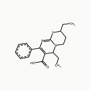 CCC1CCN2C(=NC(c3ccccc3)=C(C(=O)O)C2CC)S1